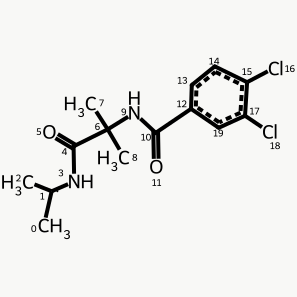 C[C](C)NC(=O)C(C)(C)NC(=O)c1ccc(Cl)c(Cl)c1